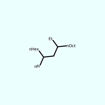 CCCCCCCCC(CC)CC(CCC)CCCCCC